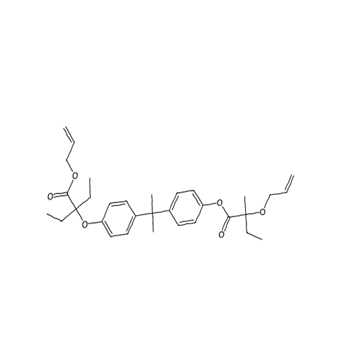 C=CCOC(=O)C(CC)(CC)Oc1ccc(C(C)(C)c2ccc(OC(=O)C(C)(CC)OCC=C)cc2)cc1